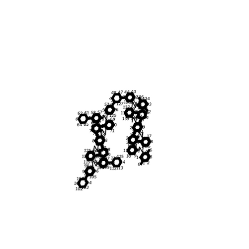 Cc1ccc(C)c(N(c2ccccc2)c2cccc3c2c2cccc4c5cc6c(cc5n3c42)c2cccc3c4c(N(c5cccc(C7CCCC(c8ccc(N(c9ccc(C%10CCCCC%10)cc9)c9cccc%10c9c9cccc%11c%12cc%13c(cc%12n%10c%119)c9cccc%10c%11c(N(c%12ccc(C%14CCCCC%14)cc%12)c%12ccc(C%14CCCCC%14)cc%12)cccc%11n%13c9%10)cc8)C7)c5)c5cc(C)ccc5C)cccc4n6c23)c1